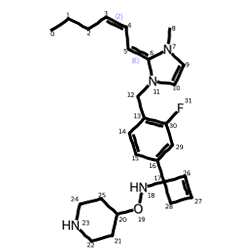 CCC/C=C\C=C1/N(C)C=CN1Cc1ccc(C2(NOC3CCNCC3)C=CC2)cc1F